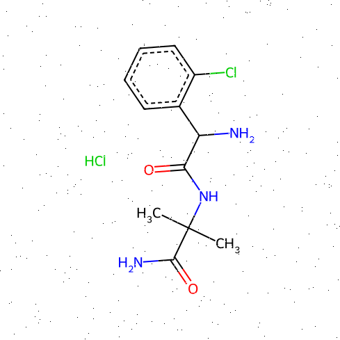 CC(C)(NC(=O)C(N)c1ccccc1Cl)C(N)=O.Cl